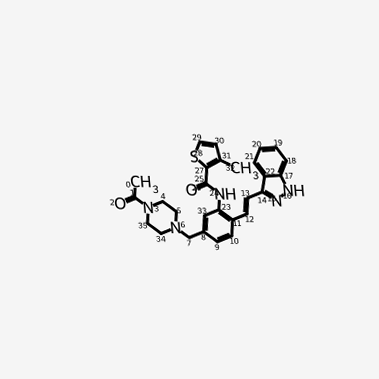 CC(=O)N1CCN(Cc2ccc(/C=C/c3n[nH]c4ccccc34)c(NC(=O)c3sccc3C)c2)CC1